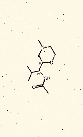 CC(=O)N[C@H](C(C)C)[C@H]1CN(C)CCO1